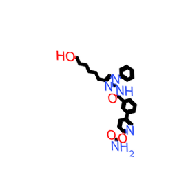 NC(=O)Oc1ccc(-c2cccc(C(=O)Nc3nc(CCCCCCO)cn3-c3ccccc3)c2)cn1